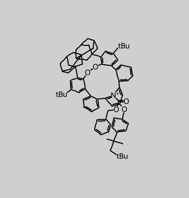 CC(C)(C)CC(C)(C)c1ccc(Oc2cc3[n+](C(=O)OCc4ccccc4)c(c2)-c2ccccc2-c2cc(C(C)(C)C)cc(C45CC6CC(CC(C6)C4)C5)c2OOc2c(cc(C(C)(C)C)cc2C24CC5CC(CC(C5)C2)C4)-c2ccccc2-3)cc1